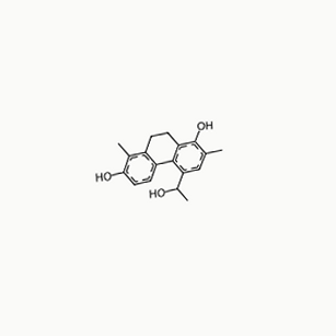 Cc1cc(C(C)O)c2c(c1O)CCc1c-2ccc(O)c1C